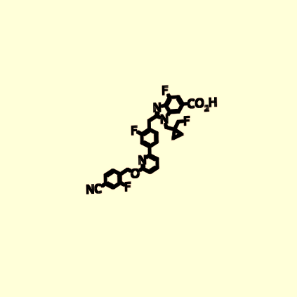 N#Cc1ccc(COc2cccc(-c3ccc(Cc4nc5c(F)cc(C(=O)O)cc5n4CC4(CF)CC4)c(F)c3)n2)c(F)c1